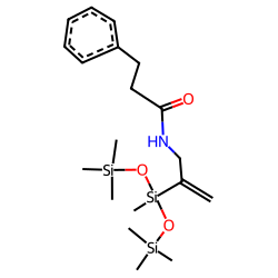 C=C(CNC(=O)CCc1ccccc1)[Si](C)(O[Si](C)(C)C)O[Si](C)(C)C